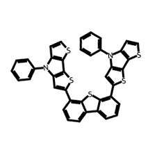 c1ccc(-n2c3ccsc3c3sc(-c4cccc5c4sc4c(-c6cc7c(s6)c6sccc6n7-c6ccccc6)cccc45)cc32)cc1